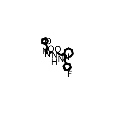 O=C(Nc1nnc(-c2ccco2)o1)c1nc(-c2ccc(F)cc2)n2c1CCCCC2